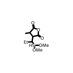 CCC(C1C(=O)OC(=O)C1C)[SiH](OC)OC